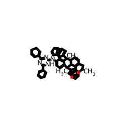 CC1CC2=C(c3ccccc31)C1C(C=C2)C(C)(c2ccccc2)c2c(ccc3c2c2ccccc2n3C2N=C(C3=CCCC=C3)N=C(c3ccccc3)N2)C1(C)c1ccccc1